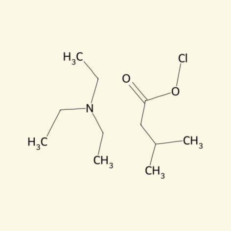 CC(C)CC(=O)OCl.CCN(CC)CC